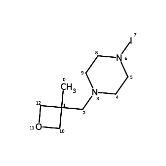 CC1(CN2CCN(I)CC2)COC1